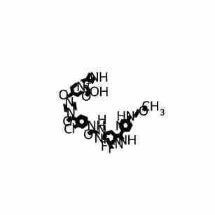 COCCNc1ccc(-c2[nH]nc(C(F)(F)F)c2Cc2cnc(C(=O)Nc3ccc(C(=O)N4CCN(C(=O)C5CC[N+](CC(=O)O)(CC6CNC6)CC5)CC4)c(Cl)c3)[nH]2)nc1